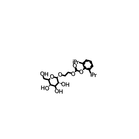 CC(C)c1cccc(C(C)C)c1OC(=O)OCCO[C@H]1OC(CO)[C@@H](O)C(O)[C@H]1O